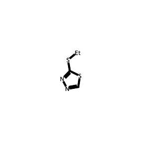 CCSc1nncs1